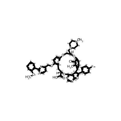 COc1ccccc1-c1nccc(COc2ccc3cc2C[C@H](C(=O)O)Oc2ncnc4oc(-c5ccc(F)cc5)c(c24)-c2ccc(c(Cl)c2C)O[C@H](CN2CCN(C)CC2)CO3)n1